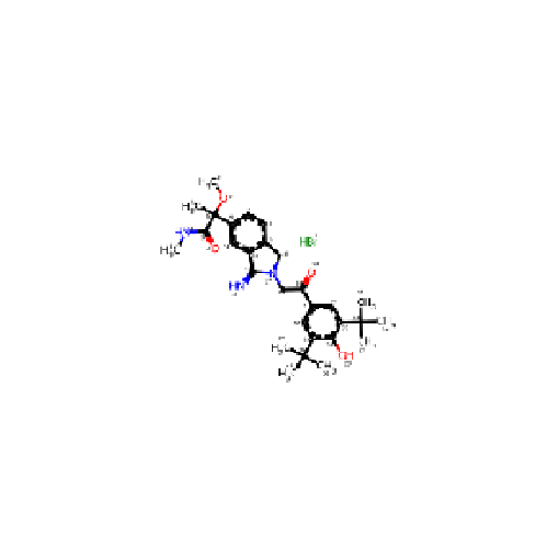 Br.CNC(=O)C(C)(OC)c1ccc2c(c1)C(=N)N(CC(=O)c1cc(C(C)(C)C)c(O)c(C(C)(C)C)c1)C2